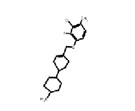 Cc1ccc(OCC2=CCC(C3CCC(C)CC3)CC2)c(F)c1Cl